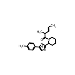 C/C=C/C(C)C(=O)N1CCCCC1c1ncc(-c2ccc(C)cc2)[nH]1